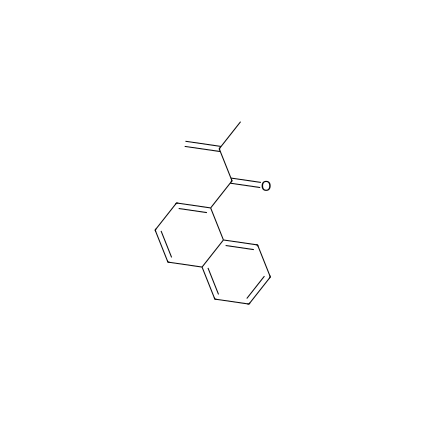 C=C(C)C(=O)c1cccc2ccccc12